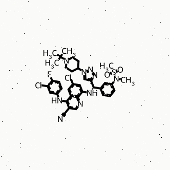 CN(c1cccc([C@H](Nc2cc(Cl)cc3c(Nc4ccc(F)c(Cl)c4)c(C#N)cnc23)c2cn(C3CCN(C(C)(C)C)CC3)nn2)c1)S(C)(=O)=O